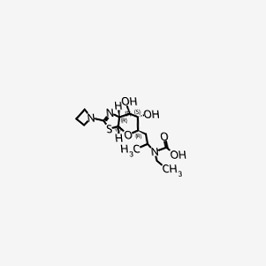 CCN(C(=O)O)C(C)C[C@H]1O[C@@H]2SC(N3CCC3)=N[C@@H]2[C@@H](O)[C@@H]1O